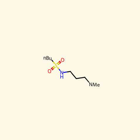 CCCCS(=O)(=O)NCCCNC